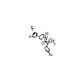 CC(=O)N1CCC(N(C)C(=O)N[C@H]2CC[C@H](c3cc(F)cc(F)c3)CC2)CC1